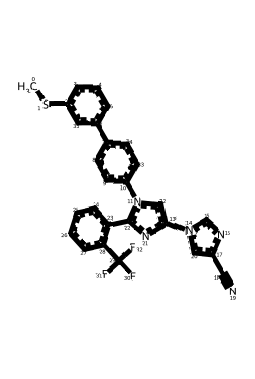 CSc1cccc(-c2ccc(-n3cc(-n4cnc(C#N)c4)nc3-c3ccccc3C(F)(F)F)cc2)c1